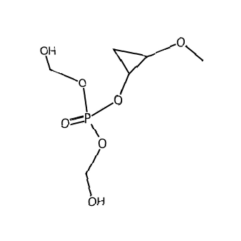 COC1CC1OP(=O)(OCO)OCO